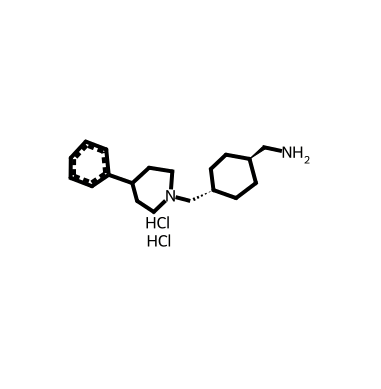 Cl.Cl.NC[C@H]1CC[C@H](CN2CCC(c3ccccc3)CC2)CC1